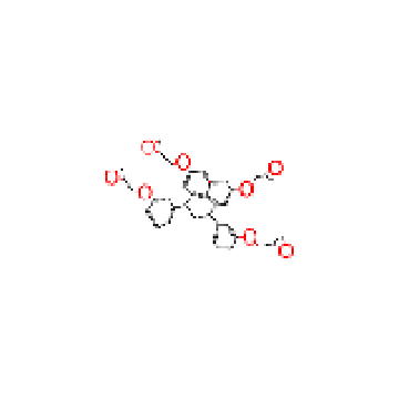 c1cc(OCC2CO2)cc(C(CC(c2cccc(OCC3CO3)c2)c2cccc(OCC3CO3)c2)c2cccc(OCC3CO3)c2)c1